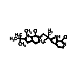 Cn1c(C(C)(C)C)cc2cc[n+](CC(C)(C)c3cc4ccnc(Cl)c4[nH]3)c(Cl)c21